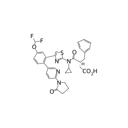 O=C(O)C[C@@H](Cc1ccccc1)C(=O)N(c1nc(-c2cc(OC(F)F)ccc2-c2ccc(N3CCCC3=O)nc2)cs1)C1CC1